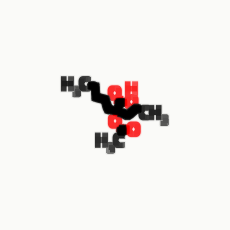 CCCCCC(CCC)(OC(C)=O)C(=O)O